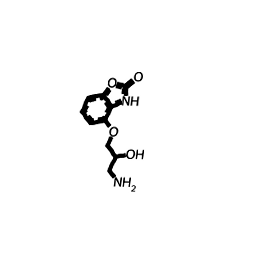 NCC(O)COc1cccc2oc(=O)[nH]c12